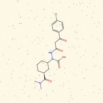 CN(C)C(=O)[C@H]1CCCC(N(NC(=O)CC(=O)c2ccc(Cl)cc2)C(=O)O)C1